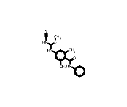 CSC(NC#N)Nc1cc(C)c(C(=O)Nc2ccccc2)c(C)c1